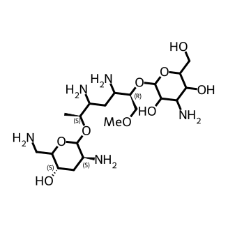 COC[C@H](OC1OC(CO)C(O)C(N)C1O)C(N)CC(N)[C@H](C)OC1OC(CN)[C@@H](O)C[C@@H]1N